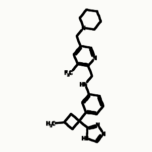 CC1CC(C2=NN=CB2)(c2cccc(NCc3ncc(CN4CCCCC4)cc3C(F)(F)F)c2)C1